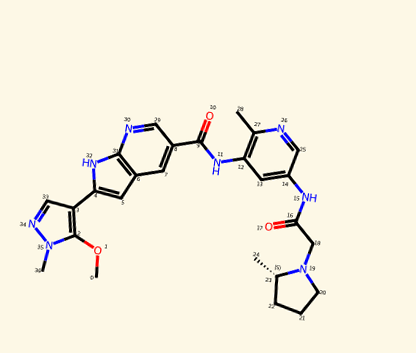 COc1c(-c2cc3cc(C(=O)Nc4cc(NC(=O)CN5CCC[C@@H]5C)cnc4C)cnc3[nH]2)cnn1C